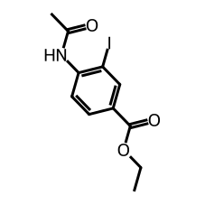 CCOC(=O)c1ccc(NC(C)=O)c(I)c1